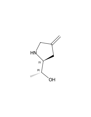 C=C1CN[C@H]([C@@H](C)O)C1